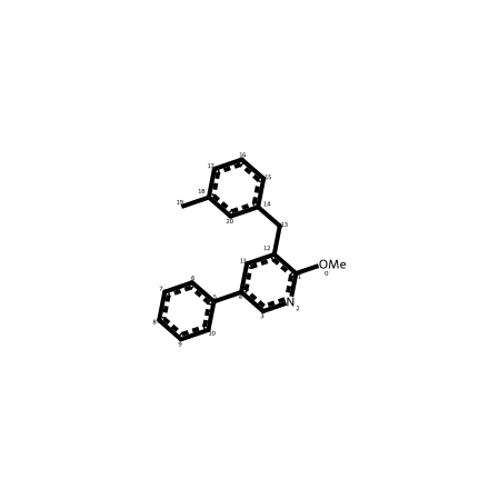 COc1ncc(-c2ccccc2)cc1Cc1cccc(C)c1